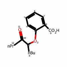 CCCCC(Oc1ccccc1C(=O)O)C(=O)CCC